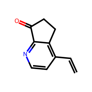 C=Cc1ccnc2c1CCC2=O